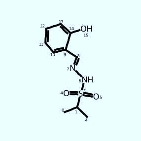 CC(C)S(=O)(=O)NN=Cc1ccccc1O